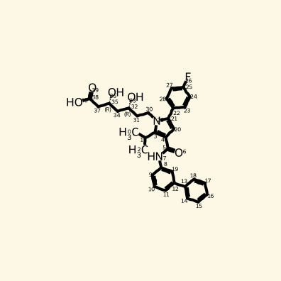 CC(C)c1c(C(=O)Nc2cccc(-c3ccccc3)c2)cc(-c2ccc(F)cc2)n1CC[C@@H](O)C[C@@H](O)CC(=O)O